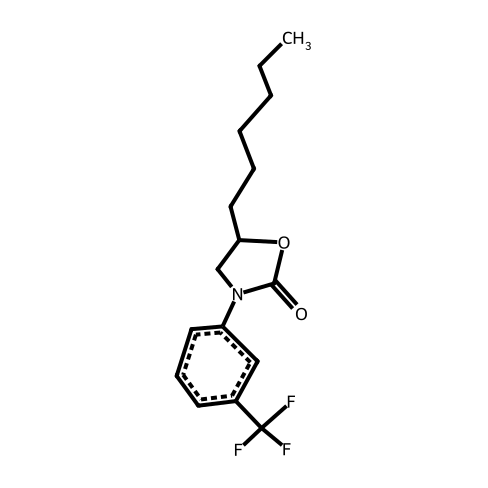 CCCCCCC1CN(c2cccc(C(F)(F)F)c2)C(=O)O1